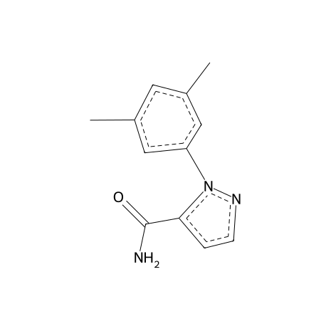 Cc1cc(C)cc(-n2nccc2C(N)=O)c1